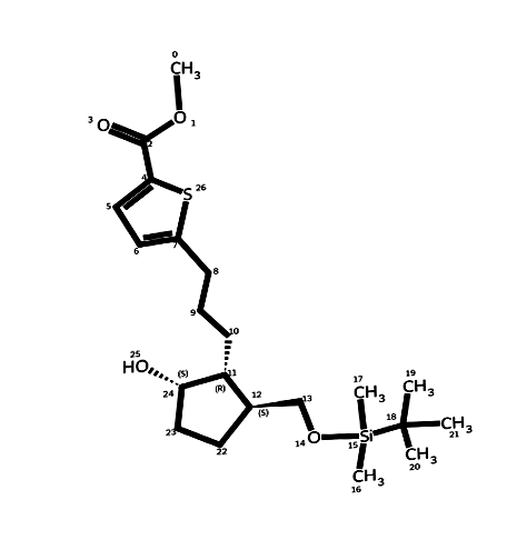 COC(=O)c1ccc(CCC[C@@H]2[C@@H](CO[Si](C)(C)C(C)(C)C)CC[C@@H]2O)s1